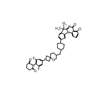 CC1(C)c2ccc(C3CCN(CC4CCC5(CN(c6cc(F)c(N7C(=O)CCCC7=O)c(F)c6)C5)OC4)CC3)cc2-n2c1nc(=O)c1c(Cl)cccc12